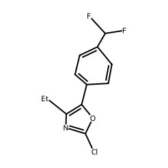 CCc1nc(Cl)oc1-c1ccc(C(F)F)cc1